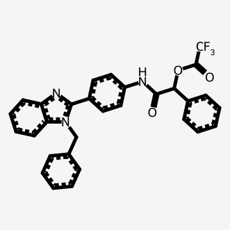 O=C(Nc1ccc(-c2nc3ccccc3n2Cc2ccccc2)cc1)C(OC(=O)C(F)(F)F)c1ccccc1